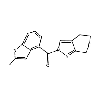 Cc1cc2c(C(=O)n3cc4c(n3)CCCC4)cccc2[nH]1